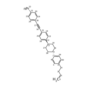 C=CCCc1ccc([C@H]2CC[C@H](c3ccc(C#Cc4ccc(CCC)cc4)cc3)CC2)cc1